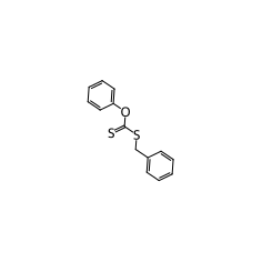 S=C(Oc1ccccc1)SCc1ccccc1